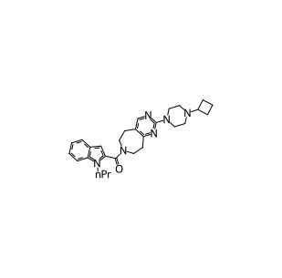 CCCn1c(C(=O)N2CCc3cnc(N4CCN(C5CCC5)CC4)nc3CC2)cc2ccccc21